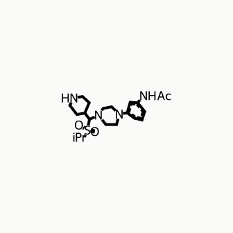 CC(=O)Nc1cccc(N2CCN(C(C3CCNCC3)S(=O)(=O)C(C)C)CC2)c1